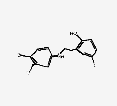 Oc1ccc(Cl)cc1CNc1ccc(Cl)c(C(F)(F)F)c1